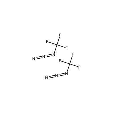 [N-]=[N+]=NC(F)(F)F.[N-]=[N+]=NC(F)(F)F